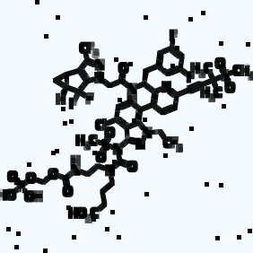 CC(C)(C#Cc1ccc(-c2ccc(Cl)c3c(N(C(=O)N(CCCC(=O)O)CCNC(=O)OCOP(=O)(O)O)S(C)(=O)=O)nn(CC(F)(F)F)c23)c([C@H](Cc2cc(F)cc(F)c2)NC(=O)Cn2nc(C(F)(F)F)c3c2C(F)(F)[C@@H]2CC32)n1)S(C)(=O)=O